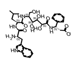 CC(C)C[C@H](NC(=O)[C@@H](N)Cc1c[nH]c2ccccc12)C(=O)N[C@@H](CO)[C@@H](O)[C@@H](O)[C@H](O)C(=O)N[C@@H](CC(=O)O)c1ccccc1